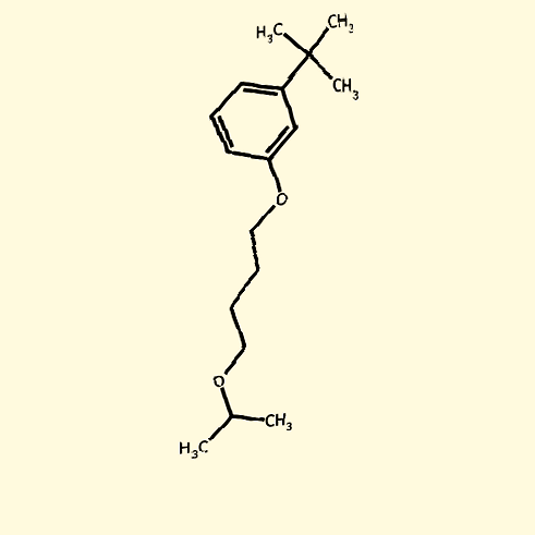 CC(C)OCCCCOc1cccc(C(C)(C)C)c1